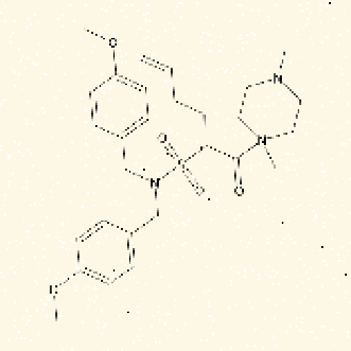 C=CCC[C@H](C(=O)[N+]1(C)CCN(C)CC1)S(=O)(=O)N(Cc1ccc(OC)cc1)Cc1ccc(OC)cc1